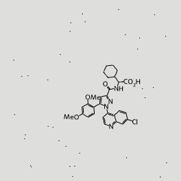 COc1ccc(-c2cc(C(=O)N[C@H](C(=O)O)C3CCCCC3)nn2-c2ccnc3cc(Cl)ccc23)c(OC)c1